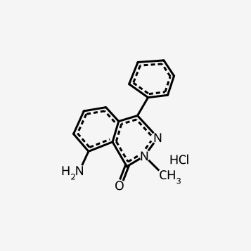 Cl.Cn1nc(-c2ccccc2)c2cccc(N)c2c1=O